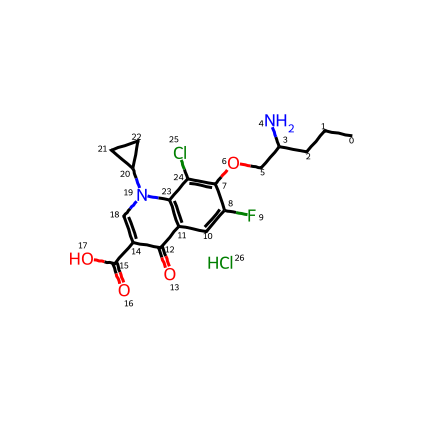 CCCC(N)COc1c(F)cc2c(=O)c(C(=O)O)cn(C3CC3)c2c1Cl.Cl